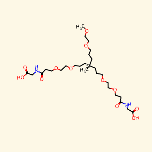 COCCOCCC[Si](C)(CCCOCCOCCC(=O)NCC(=O)O)CCCOCCOCCC(=O)NCC(=O)O